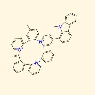 C=C1c2ccccc2-c2cccc[n+]2-c2ccccc2-c2cc(-c3cccc4c5ccccc5n(C)c34)cc[n+]2-c2ccc(C)cc2-c2cccc[n+]21